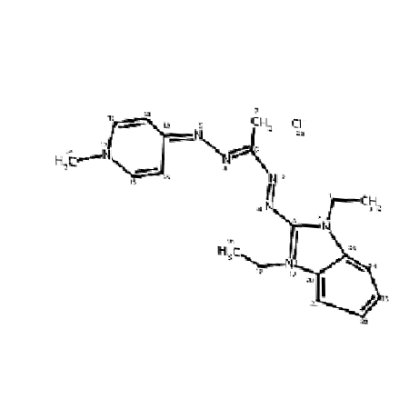 CCn1c(N=NC(C)=NN=c2ccn(C)cc2)[n+](CC)c2ccccc21.[Cl-]